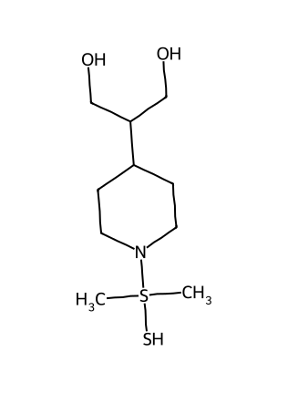 CS(C)(S)N1CCC(C(CO)CO)CC1